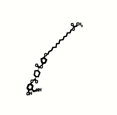 C=CC(=O)OCCCCCCCCCCCCCCOc1ccc(OC(=O)[C@H]2CC[C@@H](C(=O)Oc3ccc(O)c(C=N)c3)CC2)cc1